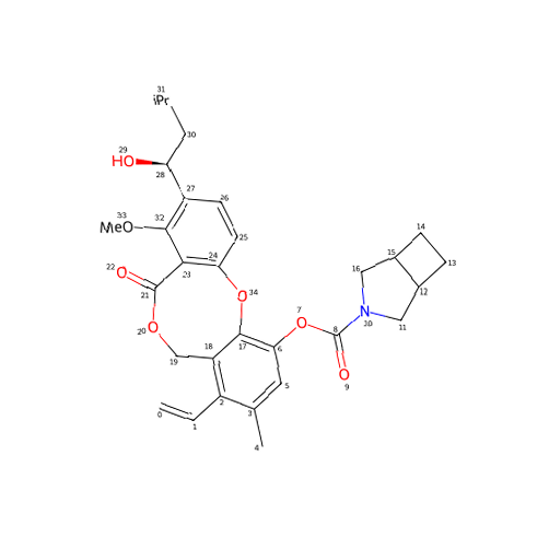 C=Cc1c(C)cc(OC(=O)N2CC3CCC3C2)c2c1COC(=O)c1c(ccc([C@@H](O)CC(C)C)c1OC)O2